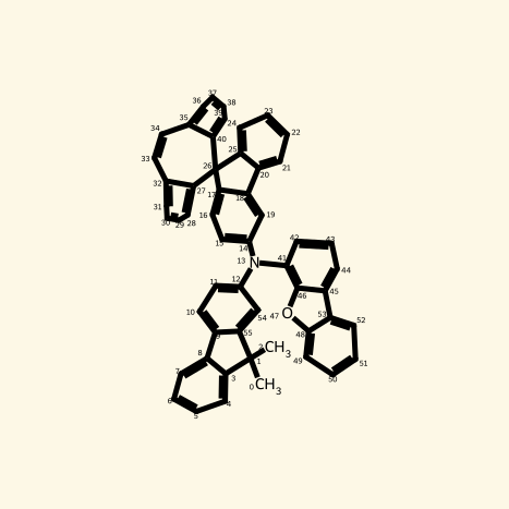 CC1(C)c2ccccc2-c2ccc(N(c3ccc4c(c3)-c3ccccc3C43c4ccccc4C=Cc4ccccc43)c3cccc4c3oc3ccccc34)cc21